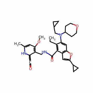 CCc1c(N(CC2CC2)C2CCOCC2)cc2oc(C3CC3)cc2c1C(=O)NCC1=C(OC)C=C(C)NC1=C=O